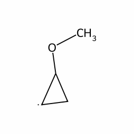 COC1[CH]C1